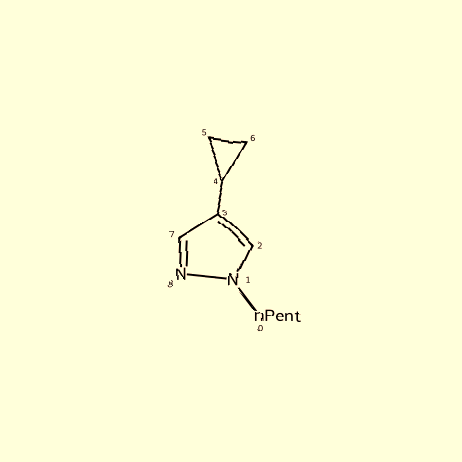 CCCCCn1cc(C2CC2)cn1